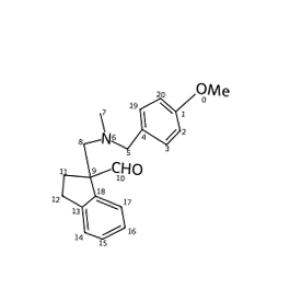 COc1ccc(CN(C)CC2(C=O)CCc3ccccc32)cc1